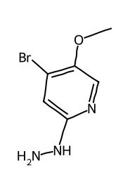 COc1cnc(NN)cc1Br